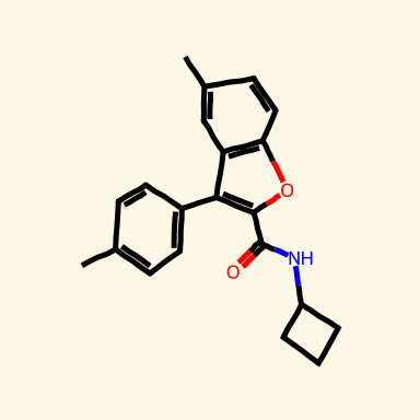 Cc1ccc(-c2c(C(=O)NC3CCC3)oc3ccc(C)cc23)cc1